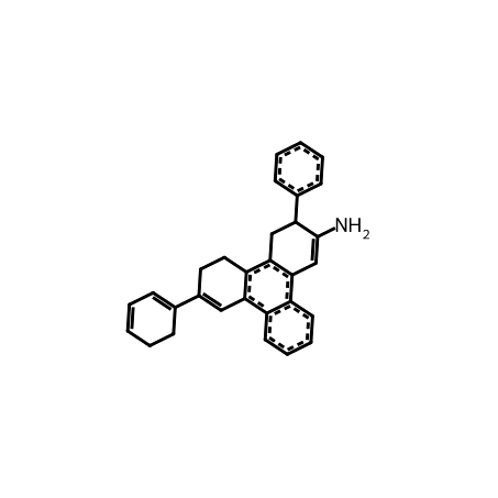 NC1=Cc2c(c3c(c4ccccc24)C=C(C2=CC=CCC2)CC3)CC1c1ccccc1